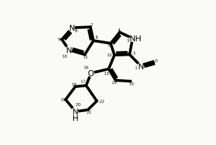 C=Nc1[nH]cc(-c2cncnc2)c1/C(=C\C)OC1CCNCC1